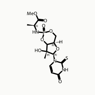 COC(=O)[C@H](C)NP1(=O)OC[C@H]2O[C@@H](n3ccc(=O)[nH]c3=S)[C@](C)(O)C2O1